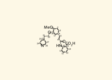 COc1ccc(C=CC(=O)Nc2ccccc2C(=O)O)cc1OCCc1ccncc1